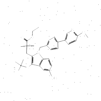 CCOC(=O)C(C)(C)Cc1c(SC(C)(C)C)c2cc(O)ccc2n1Cc1ccc(-c2ccc(OC)nc2)cc1